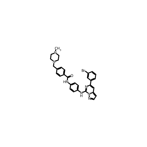 CN1CCN(Cc2ccc(C(=O)Nc3ccc(Nc4nc(-c5cccc(Br)c5)cc5ccnn45)cc3)cc2)CC1